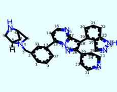 c1cc(CN2CC3C[C@H]2CN3)cc(-c2ccnc3c(-c4cccc5[nH]ncc45)c(-c4ccncc4)nn23)c1